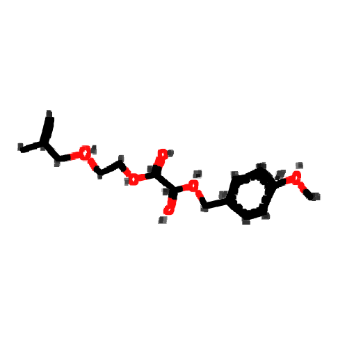 C=C(C)COCCOC(=O)C(=O)OCc1ccc(OC)cc1